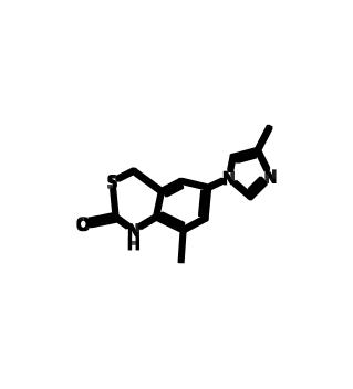 Cc1cn(-c2cc(C)c3c(c2)CSC(=O)N3)cn1